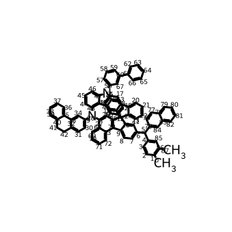 Cc1ccc(C(c2ccc3c(c2)C2(c4ccccc4-c4ccccc42)c2cc(N(c4ccc5c(c4)-c4ccccc4CC5)c4cccc5c4c4ccccc4n5-c4cccc(-c5ccccc5)c4)c4ccccc4c2-3)c2ccc3ccccc3c2)cc1C